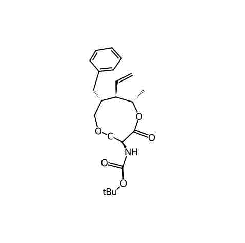 C=C[C@@H]1[C@@H](Cc2ccccc2)COC[C@H](NC(=O)OC(C)(C)C)C(=O)O[C@H]1C